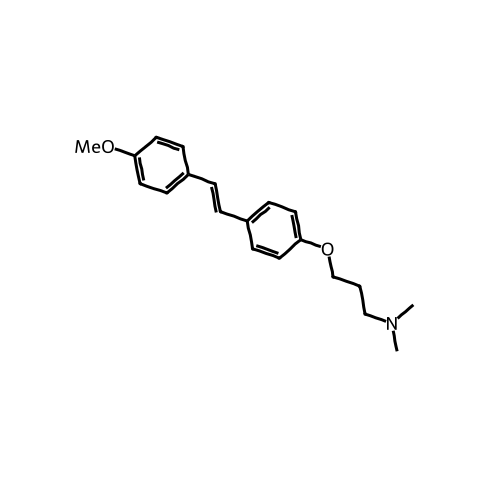 COc1ccc(C=Cc2ccc(OCCCN(C)C)cc2)cc1